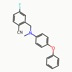 CN(Cc1cc(F)ccc1C#N)c1ccc(Oc2ccccc2)cc1